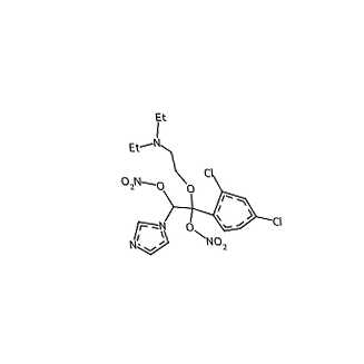 CCN(CC)CCOC(O[N+](=O)[O-])(c1ccc(Cl)cc1Cl)C(O[N+](=O)[O-])n1ccnc1